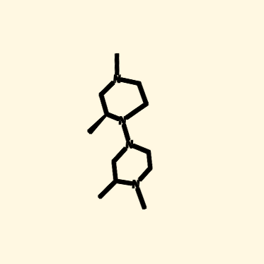 CC1CN(N2CCN(C)C[C@@H]2C)CCN1C